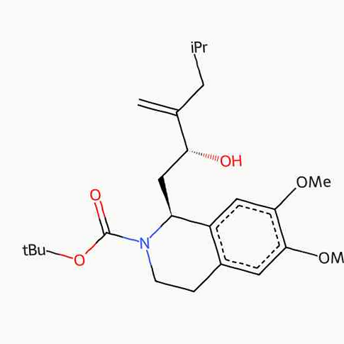 C=C(CC(C)C)[C@H](O)C[C@H]1c2cc(OC)c(OC)cc2CCN1C(=O)OC(C)(C)C